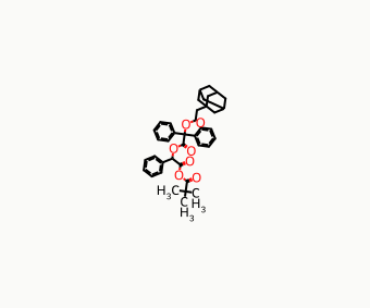 CC(C)(C)C(=O)OC(=O)C(OC(=O)C(OC(=O)CC12CC3CC(CC(C3)C1)C2)(c1ccccc1)c1ccccc1)c1ccccc1